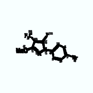 COc1nn(-c2ccc(Br)cc2)c(F)c1C(F)(F)F